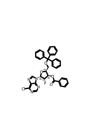 O=C(O[C@H]1[C@H](F)[C@H](n2cnc3c(Cl)ncnc32)O[C@H]1COC(c1ccccc1)(c1ccccc1)c1ccccc1)c1ccccc1